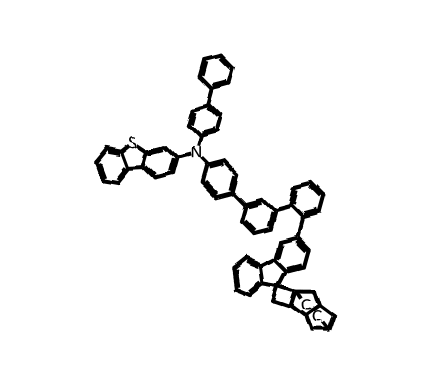 c1ccc(-c2ccc(N(c3ccc(-c4cccc(-c5ccccc5-c5ccc6c(c5)-c5ccccc5C65CC6C7CC8CCC65CC7C8)c4)cc3)c3ccc4c(c3)sc3ccccc34)cc2)cc1